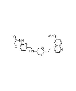 COc1ccc2nccc(CC[C@H]3OC[C@H](NCc4ccc5c(n4)NC(=O)CO5)CO3)c2c1